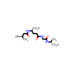 CCCC[C@H](C)CC(=O)N[C@H](CCC(=O)NCC(=O)N[C@H](C)C(=O)O)C(=O)O